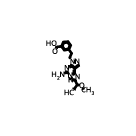 C#CC(OC)c1nc2c3cnn(CCc4cccc(C(=O)O)c4)c3nc(N)n2n1